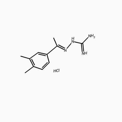 C/C(=N\NC(=N)N)c1ccc(C)c(C)c1.Cl